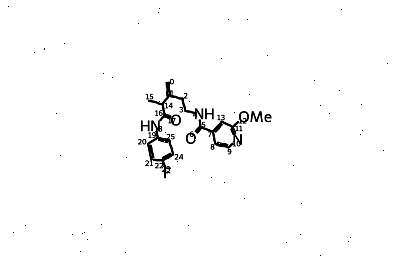 C=C(CCNC(=O)c1ccnc(OC)c1)C(C)C(=O)Nc1ccc(F)cc1